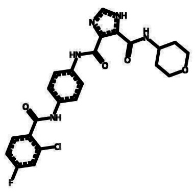 O=C(Nc1ccc(NC(=O)c2nc[nH]c2C(=O)NC2CCOCC2)cc1)c1ccc(F)cc1Cl